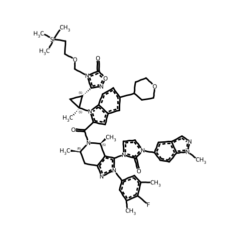 Cc1cc(-n2nc3c(c2-n2ccn(-c4ccc5c(cnn5C)c4)c2=O)[C@H](C)N(C(=O)c2cc4cc(C5CCOCC5)ccc4n2[C@@]2(C)C[C@@H]2c2noc(=O)n2COCC[Si](C)(C)C)[C@H](C)C3)cc(C)c1F